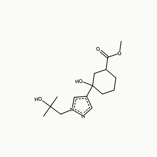 COC(=O)C1CCCC(O)(c2cnn(CC(C)(C)O)c2)C1